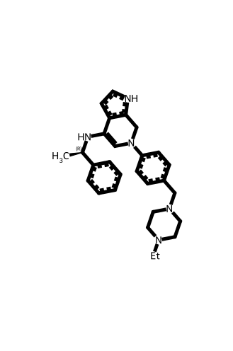 CCN1CCN(Cc2ccc(N3C=C(N[C@H](C)c4ccccc4)c4cc[nH]c4C3)cc2)CC1